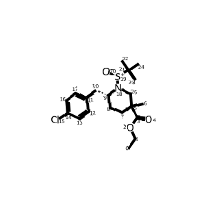 CCOC(=O)C1(C)CC[C@H](Cc2ccc(Cl)cc2)N([S@@+]([O-])C(C)(C)C)C1